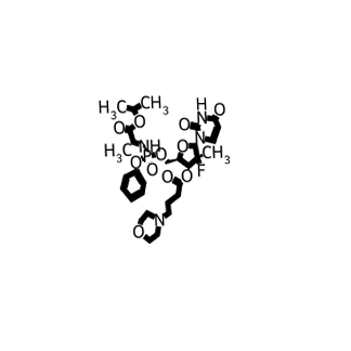 CC(C)OC(=O)[C@H](C)N[P@](=O)(OC[C@H]1O[C@@H](n2ccc(=O)[nH]c2=O)[C@](C)(F)[C@@H]1OC(=O)CCCN1CCOCC1)Oc1ccccc1